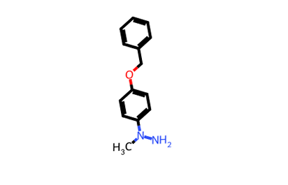 CN(N)c1ccc(OCc2ccccc2)cc1